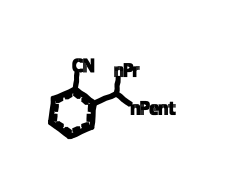 CCCCCC(CCC)c1ccccc1C#N